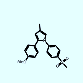 COc1ccc(-c2cc(C)cn2-c2ccc(S(C)(=O)=O)cc2)cc1